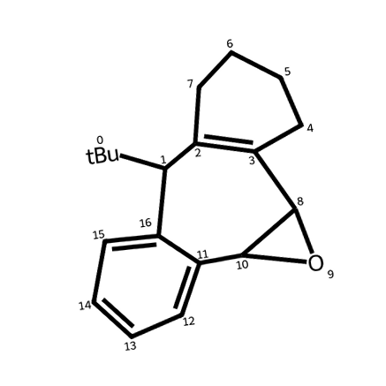 CC(C)(C)C1C2=C(CCCC2)C2OC2c2ccccc21